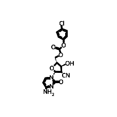 N#C[C@H]1[C@H](O)[C@@H](COC(=O)Oc2ccc(Cl)cc2)O[C@H]1n1ccc(N)nc1=O